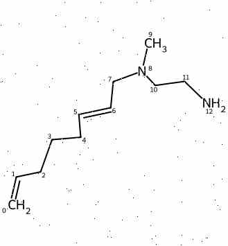 C=CCCCC=CCN(C)CCN